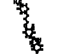 CN1CCN(CCCOc2ccc(-c3nc4ccccc4[nH]3)cc2F)CC1